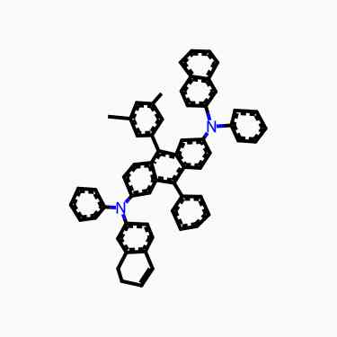 Cc1cc(C)cc(-c2c3ccc(N(c4ccccc4)c4ccc5c(c4)CCC=C5)cc3c(-c3ccccc3)c3ccc(N(c4ccccc4)c4ccc5ccccc5c4)cc23)c1